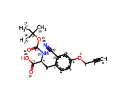 C#CCOc1ccc(C[C@H](NC(=O)OC(C)(C)C)C(=O)O)c(C#N)c1